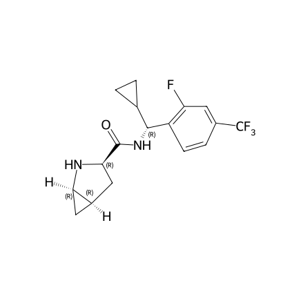 O=C(N[C@@H](c1ccc(C(F)(F)F)cc1F)C1CC1)[C@H]1C[C@H]2C[C@H]2N1